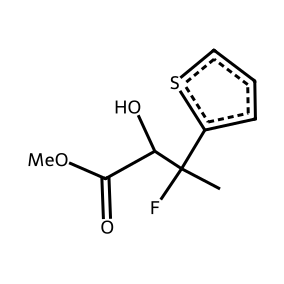 COC(=O)C(O)C(C)(F)c1cccs1